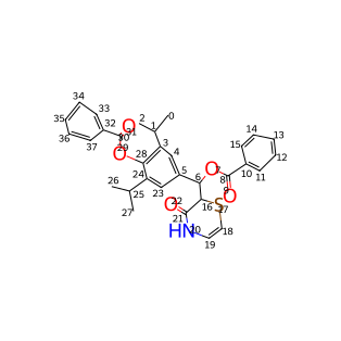 CC(C)c1cc(C(OC(=O)c2ccccc2)C2SC=CNC2=O)cc(C(C)C)c1OC(=O)c1ccccc1